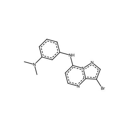 CN(C)c1cccc(Nc2ccnc3c(Br)cnn23)c1